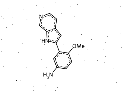 COc1ccc(N)cc1-c1cc2ccncc2[nH]1